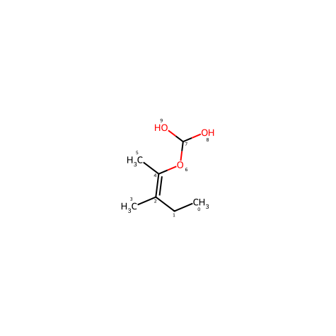 CCC(C)=C(C)OC(O)O